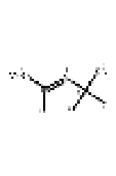 COC(C)=NC(C)(C)C#N